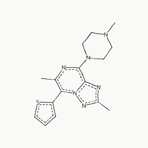 Cc1nc2c(N3CCN(C)CC3)nc(C)c(-c3cccs3)n2n1